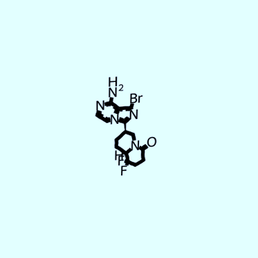 Nc1nccn2c([C@@H]3CC[C@H]4N(C3)C(=O)CCC4(F)F)nc(Br)c12